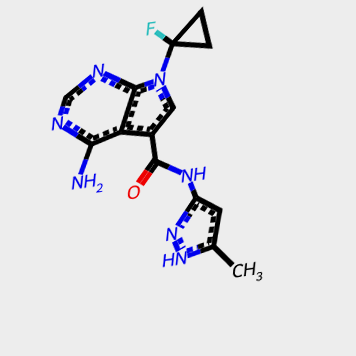 Cc1cc(NC(=O)c2cn(C3(F)CC3)c3ncnc(N)c23)n[nH]1